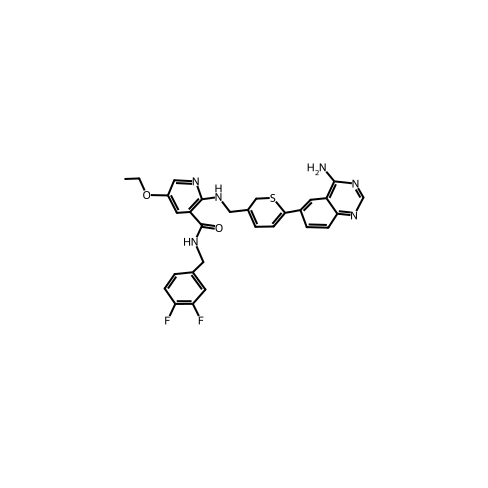 CCOc1cnc(NCC2=CC=C(c3ccc4ncnc(N)c4c3)SC2)c(C(=O)NCc2ccc(F)c(F)c2)c1